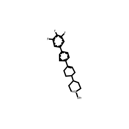 CCC[SiH]1CCC(C2CC=C(c3ccc(-c4cc(F)c(F)c(F)c4)cc3)CC2)CC1